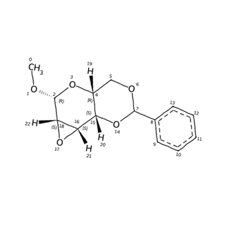 CO[C@@H]1O[C@@H]2COC(c3ccccc3)O[C@@H]2[C@@H]2O[C@H]12